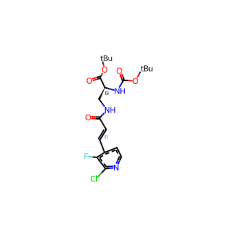 CC(C)(C)OC(=O)N[C@@H](CNC(=O)/C=C/c1ccnc(Cl)c1F)C(=O)OC(C)(C)C